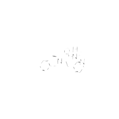 NC(=O)C(=Cc1cccnc1)N1C=Cc2ccccc2C1